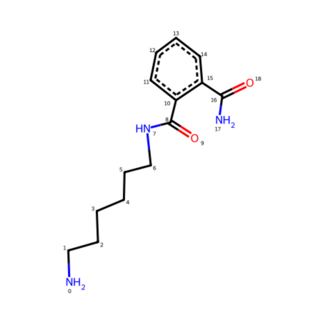 NCCCCCCNC(=O)c1ccccc1C(N)=O